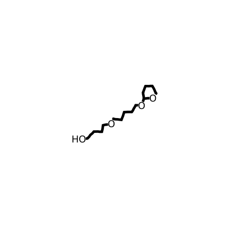 OCCCCOCCCCCOC1CCCCO1